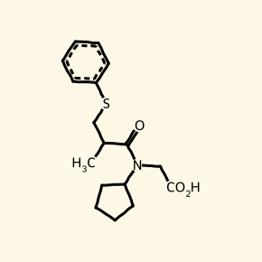 CC(CSc1ccccc1)C(=O)N(CC(=O)O)C1CCCC1